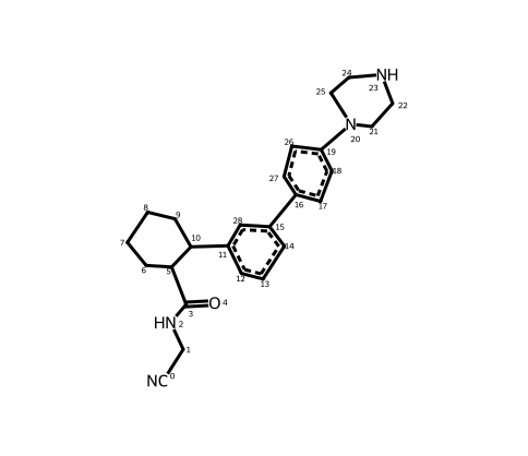 N#CCNC(=O)C1CCCCC1c1cccc(-c2ccc(N3CCNCC3)cc2)c1